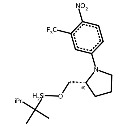 CC(C)C(C)(C)[SiH2]OC[C@H]1CCCN1c1ccc([N+](=O)[O-])c(C(F)(F)F)c1